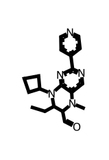 CCC1C(C=O)N(C)c2cnc(-c3ccncc3)nc2N1C1CCC1